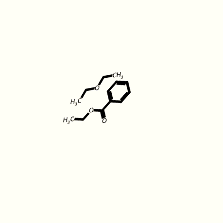 CCOC(=O)c1ccccc1.CCOCC